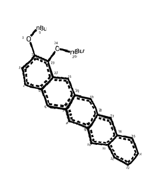 CCCCOc1ccc2cc3cc4cc5ccccc5cc4cc3cc2c1OCCCC